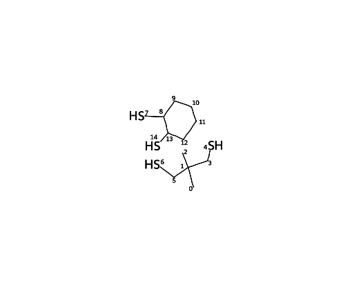 CC(C)(CS)CS.SC1CCCCC1S